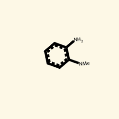 CNc1cc[c]cc1N